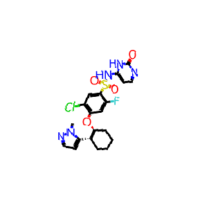 Cn1nccc1[C@H]1CCCC[C@@H]1Oc1cc(F)c(S(=O)(=O)Nc2ccnc(=O)[nH]2)cc1Cl